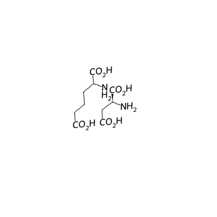 NC(CCCC(=O)O)C(=O)O.N[C@@H](CC(=O)O)C(=O)O